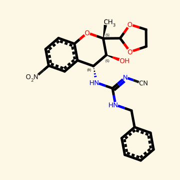 C[C@]1(C2OCCO2)Oc2ccc([N+](=O)[O-])cc2[C@@H](NC(=NC#N)NCc2ccccc2)[C@@H]1O